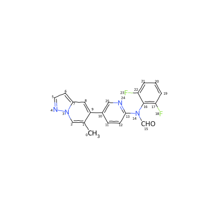 Cc1cn2nccc2cc1-c1ccc(N(C=O)c2c(F)cccc2F)nc1